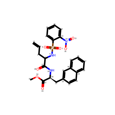 C=CCC(NS(=O)(=O)c1ccccc1[N+](=O)[O-])C(=O)N[C@@H](Cc1ccc2ccccc2c1)C(=O)OC